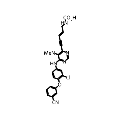 CNc1c(C#C/C=C/CNC(=O)O)ncnc1Nc1ccc(Oc2cccc(C#N)c2)c(Cl)c1